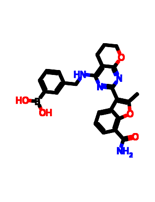 Cc1oc2c(C(N)=O)cccc2c1-c1nc(NCc2cccc(B(O)O)c2)c2c(n1)OCCC2